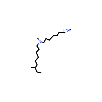 CCC(C)CCCCCCN(C)CCCCCCCNC